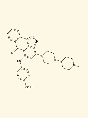 CN1CCC(N2CCN(c3cc(Nc4ccc(C(=O)O)cc4)c4c5c(onc35)-c3ccccc3C4=O)CC2)CC1